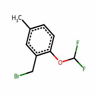 Cc1ccc(OC(F)F)c(CBr)c1